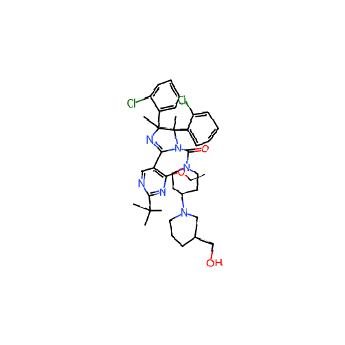 CCOc1nc(C(C)(C)C)ncc1C1=NC(C)(c2ccccc2Cl)C(C)(c2ccccc2Cl)N1C(=O)N1CCC(N2CCCC(CO)C2)CC1